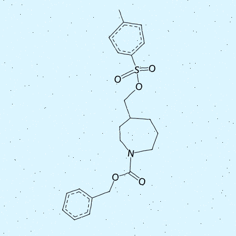 Cc1ccc(S(=O)(=O)OCC2CCCN(C(=O)OCc3ccccc3)CC2)cc1